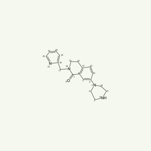 O=C1c2cc(N3CCNCC3)ccc2CCN1Cc1ccccn1